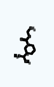 CCOC(=O)N1CCC[C@@H](C(C)C)C1